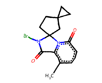 Cc1ccc(=O)n2c1C(=O)N(Br)C21CCC2(CC2)C1